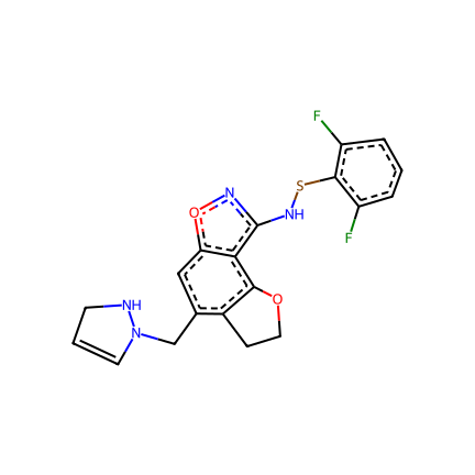 Fc1cccc(F)c1SNc1noc2cc(CN3C=CCN3)c3c(c12)OCC3